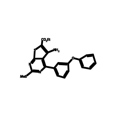 CCOC(=O)c1sc2nc(SC)nc(-c3cccc(Oc4ccccc4)c3)c2c1N